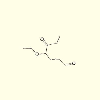 CCOC(CCC=O)C(=O)CC